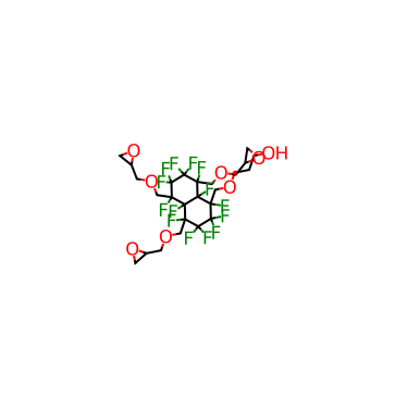 OCCCOCC1(F)C(F)(F)C(F)(F)C(F)(COCC2CO2)C2(F)C(F)(COCC3CO3)C(F)(F)C(F)(F)C(F)(COCC3CO3)C12F